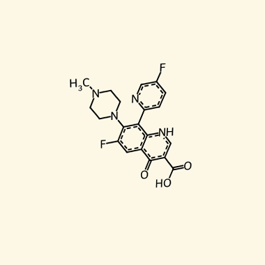 CN1CCN(c2c(F)cc3c(=O)c(C(=O)O)c[nH]c3c2-c2ccc(F)cn2)CC1